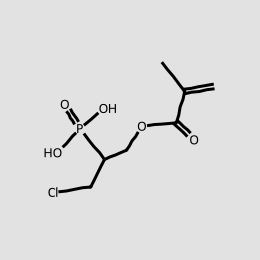 C=C(C)C(=O)OCC(CCl)P(=O)(O)O